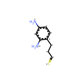 Nc1ccc(CCC=S)c(N)c1